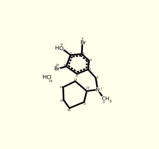 CN(Cc1cc(Br)c(O)c(Br)c1)C1CCCCC1.Cl